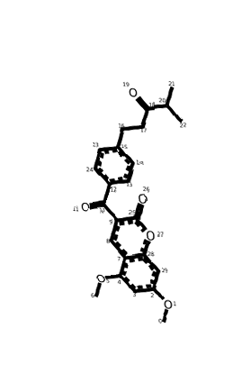 COc1cc(OC)c2cc(C(=O)c3ccc(CCC(=O)C(C)C)cc3)c(=O)oc2c1